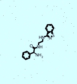 N[C@H](C(=O)NCCNc1nsc2ccccc12)c1ccccc1